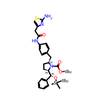 CC(C)(C)OC(=O)N1[C@H](Cc2ccc(NC(=O)Cc3csc(N)n3)cc2)CC[C@@H]1[C@H](O[Si](C)(C)C(C)(C)C)c1ccccc1